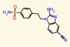 N#Cc1ccc2c(c1)nc(N)n2CCc1ccc(S(N)(=O)=O)cc1